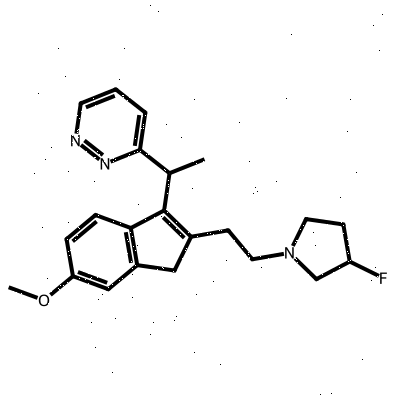 COc1ccc2c(c1)CC(CCN1CCC(F)C1)=C2C(C)c1cccnn1